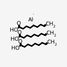 C=CCCCCCCC(=O)O.C=CCCCCCCC(=O)O.C=CCCCCCCC(=O)O.[Al]